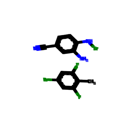 Cc1c(F)cc(Br)cc1F.N#Cc1ccc(NBr)c(N)c1